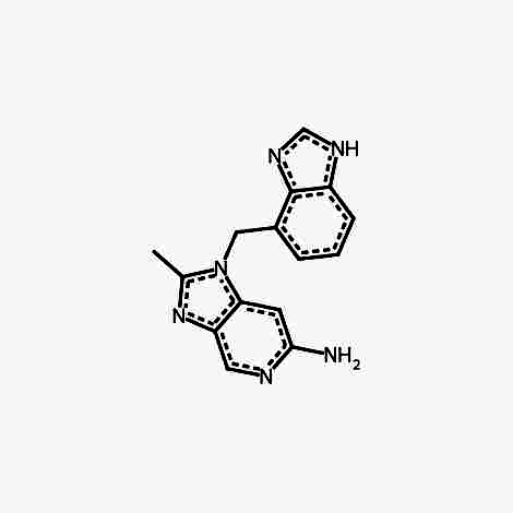 Cc1nc2cnc(N)cc2n1Cc1cccc2[nH]cnc12